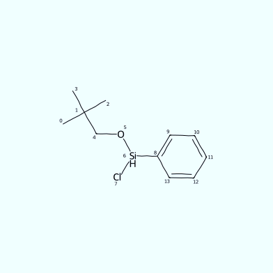 CC(C)(C)CO[SiH](Cl)c1ccccc1